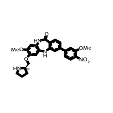 COc1cc2c(cc1OC[C@H]1CCCN1)Nc1cc(-c3ccc([N+](=O)[O-])c(OC)c3)ccc1C(=O)N2